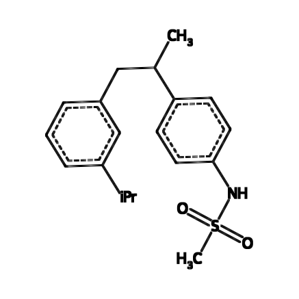 CC(C)c1cccc(CC(C)c2ccc(NS(C)(=O)=O)cc2)c1